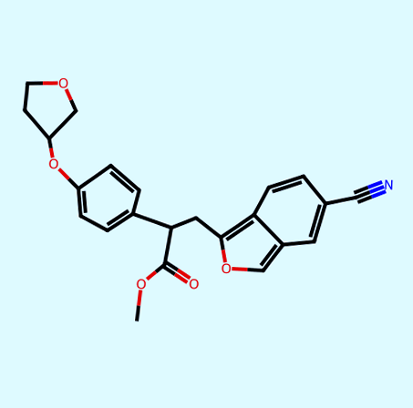 COC(=O)C(Cc1occ2cc(C#N)ccc12)c1ccc(OC2CCOC2)cc1